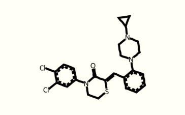 O=C1C(=Cc2ccccc2N2CCN(C3CC3)CC2)SCCN1c1ccc(Cl)c(Cl)c1